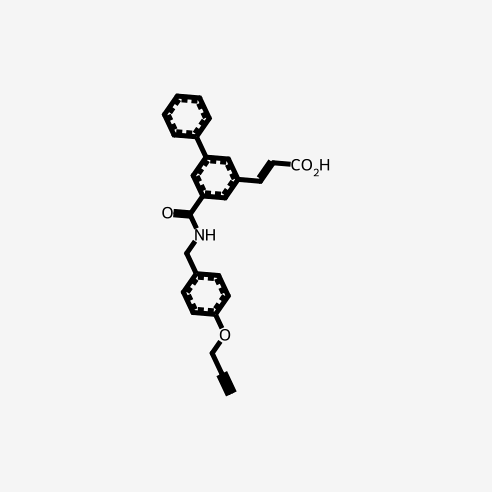 C#CCOc1ccc(CNC(=O)c2cc(/C=C/C(=O)O)cc(-c3ccccc3)c2)cc1